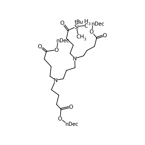 CCCCCCCCCCOC(=O)CCCN(CCCC(=O)OCCCCCCCCCC)CCCN(CCCC(=O)OCCCCCCCCCC)CCCC(=O)[Si](C)(C)C(C)(C)C